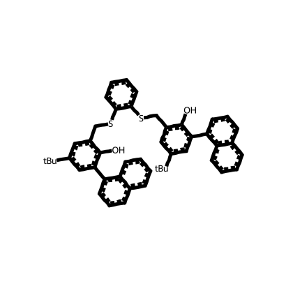 CC(C)(C)c1cc(CSc2ccccc2SCc2cc(C(C)(C)C)cc(-c3cccc4ccccc34)c2O)c(O)c(-c2cccc3ccccc23)c1